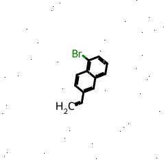 C=Cc1ccc2c(Br)cccc2c1